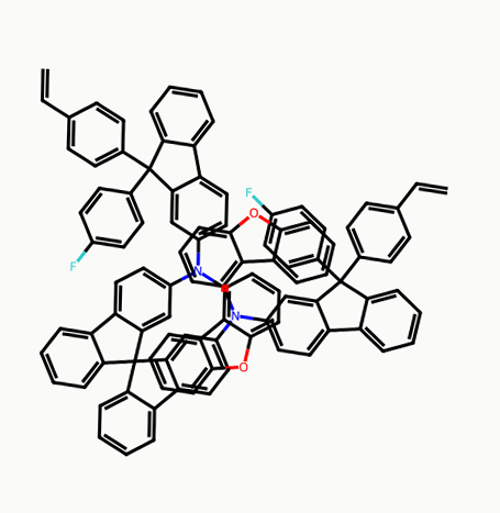 C=Cc1ccc(C2(c3ccc(F)cc3)c3ccccc3-c3ccc(N(c4ccc5c(c4)C4(c6ccccc6-5)c5ccccc5-c5ccc(N(c6ccc7c(c6)C(c6ccc(F)cc6)(c6ccc(C=C)cc6)c6ccccc6-7)c6cccc7oc8ccccc8c67)cc54)c4cccc5oc6ccccc6c45)cc32)cc1